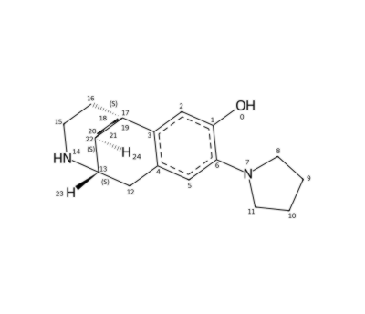 Oc1cc2c(cc1N1CCCC1)C[C@@H]1NCC[C@]23CCCC[C@H]13